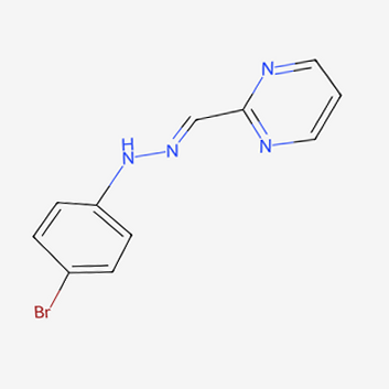 Brc1ccc(NN=Cc2ncccn2)cc1